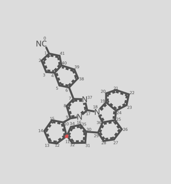 N#Cc1ccc2cc(-c3cc(-c4ccccc4)nc(-n4c5ccccc5c5cccc(-c6ccccc6)c54)n3)ccc2c1